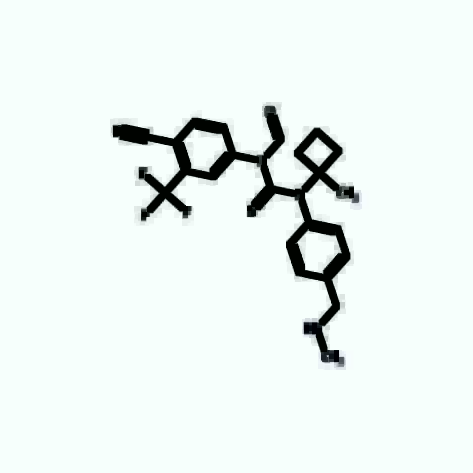 CNCc1ccc(N(C(=S)N(C=O)c2ccc(C#N)c(C(F)(F)F)c2)C2(C)CCC2)cc1